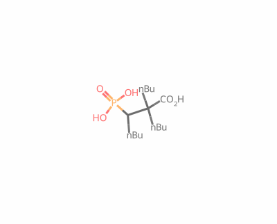 CCCCC(C(CCCC)(CCCC)C(=O)O)P(=O)(O)O